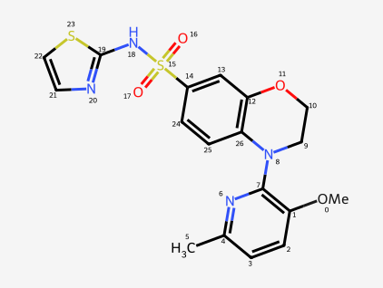 COc1ccc(C)nc1N1CCOc2cc(S(=O)(=O)Nc3nccs3)ccc21